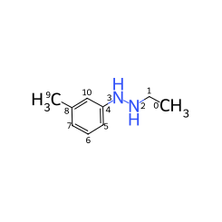 CCNNc1cccc(C)c1